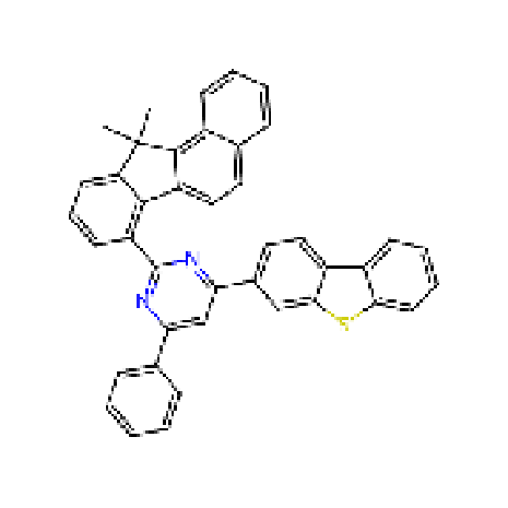 CC1(C)c2cccc(-c3nc(-c4ccccc4)cc(-c4ccc5c(c4)sc4ccccc45)n3)c2-c2ccc3ccccc3c21